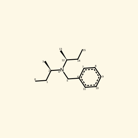 CC[C@@H](C)N(Cc1ccccc1)[C@@H](C)CC